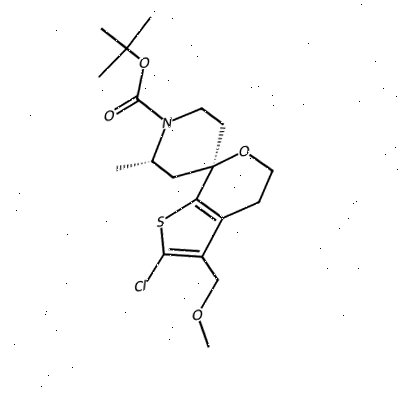 COCc1c(Cl)sc2c1CCO[C@@]21CCN(C(=O)OC(C)(C)C)[C@@H](C)C1